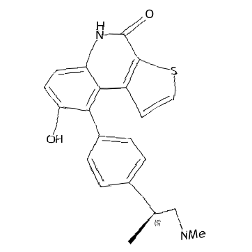 CNC[C@@H](C)c1ccc(-c2c(O)ccc3[nH]c(=O)c4sccc4c23)cc1